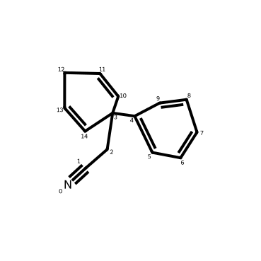 N#CCC1(c2ccccc2)C=CCC=C1